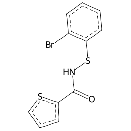 O=C(NSc1ccccc1Br)c1cccs1